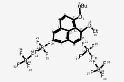 CCCCOc1ccc2cccc3c2c1C(OCC)C=C3.F[B-](F)(F)F.F[B-](F)(F)F.F[B-](F)(F)F.F[B-](F)(F)F